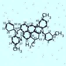 Cc1ccc(N(C2=CC=CC(C)C2)C2=c3ccc4ccc(N(c5ccc(C)cn5)C5C=CC=CC5)c5ccc(c3c45)C(C)C2)nc1